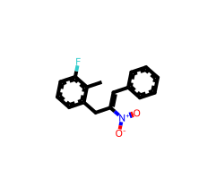 Cc1c(F)cccc1CC(=Cc1ccccc1)[N+](=O)[O-]